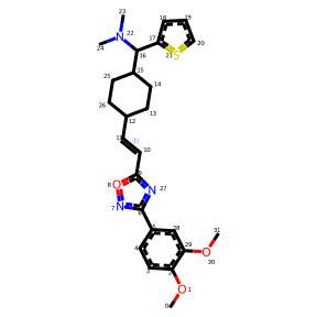 COc1ccc(-c2noc(/C=C/C3CCC(C(c4cccs4)N(C)C)CC3)n2)cc1OC